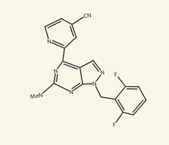 CNc1nc(-c2cc(C#N)ccn2)c2cnn(Cc3c(F)cccc3F)c2n1